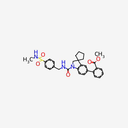 CNS(=O)(=O)c1ccc(CNC(=O)N2CC3(CCCC3)c3cc(-c4ccccc4C(=O)OC)ccc32)cc1